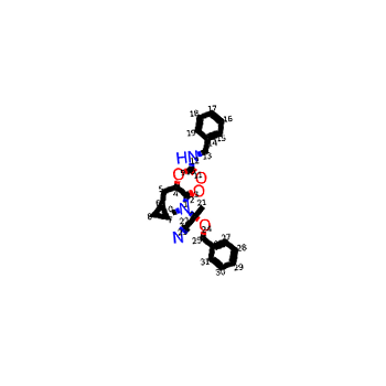 CN(C(=O)C(CC1CC1)OC(=O)NCc1ccccc1)C(C)(C#N)OCc1ccccc1